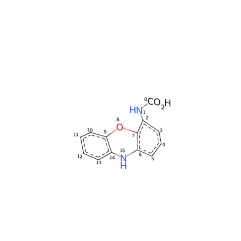 O=C(O)Nc1cccc2c1Oc1ccccc1N2